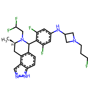 C[C@@H]1Cc2c(ccc3[nH]ncc23)C(c2c(F)cc(NC3CN(CCCF)C3)cc2F)N1CC(F)F